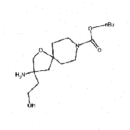 CCCCOC(=O)N1CCC2(CC1)CC(N)(CCO)CO2